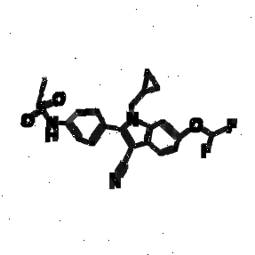 CCS(=O)(=O)Nc1ccc(-c2c(C#N)c3ccc(OC(F)F)cc3n2CC2CC2)cc1